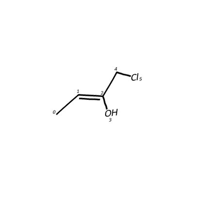 CC=C(O)CCl